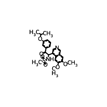 COc1cc2cncc(C(NS(C)(=O)=O)C(=O)c3cccc(OC(C)C)c3)c2cc1OC